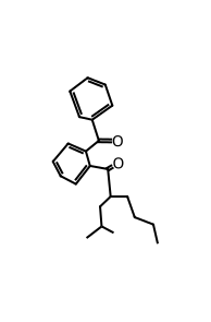 CCCCC(CC(C)C)C(=O)c1ccccc1C(=O)c1ccccc1